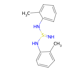 Cc1ccccc1NS(=N)Nc1ccccc1C